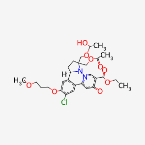 CCOC(=O)c1cn2c(cc1=O)-c1cc(Cl)c(OCCCOC)cc1[C@H]1CCC(COC(C)=O)(COC(C)O)N12